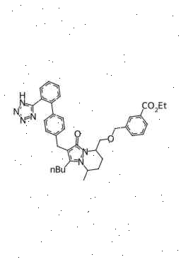 CCCCc1c(Cc2ccc(-c3ccccc3-c3nnn[nH]3)cc2)c(=O)n2n1C(C)CCC2COCc1cccc(C(=O)OCC)c1